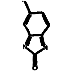 [CH2]c1ccc2c(c1)=NC(=O)N=2